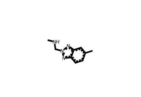 CNCn1nc2ccc(C)cc2n1